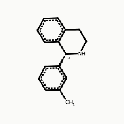 Cc1cccc([C@@H]2NCCc3ccccc32)c1